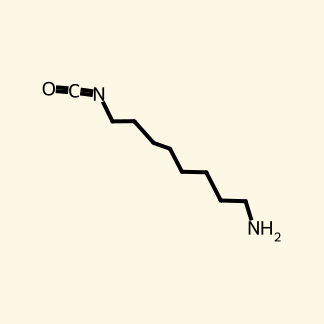 NCCCCCCCCN=C=O